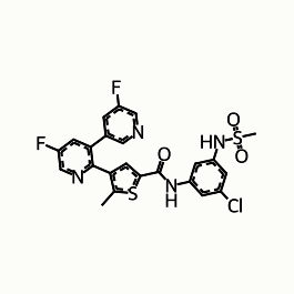 Cc1sc(C(=O)Nc2cc(Cl)cc(NS(C)(=O)=O)c2)cc1-c1ncc(F)cc1-c1cncc(F)c1